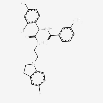 Cc1cccc(C(=O)N[C@@H](C(=O)NCCN2CCc3cc(F)ccc32)c2ccc(Cl)cc2Cl)c1